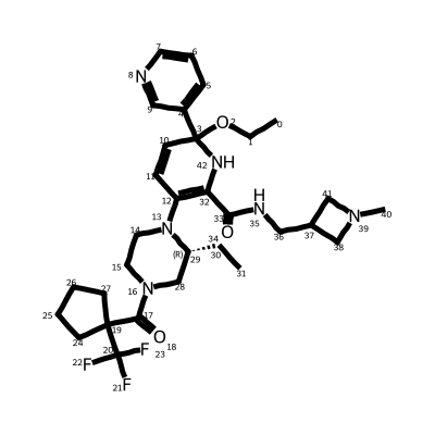 CCOC1(c2cccnc2)C=CC(N2CCN(C(=O)C3(C(F)(F)F)CCCC3)C[C@H]2CC)=C(C(=O)NCC2CN(C)C2)N1